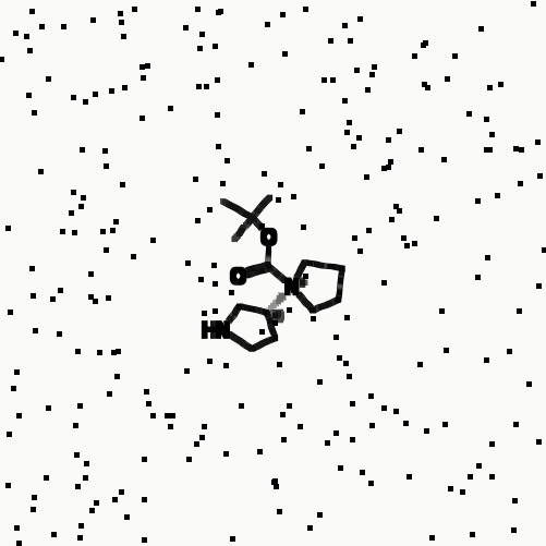 CC(C)(C)OC(=O)[N+]1([C@@H]2CCNC2)CCCC1